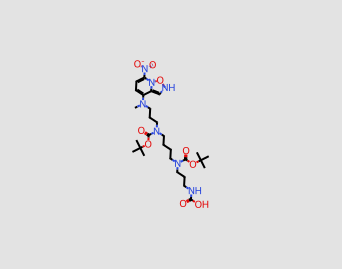 CN(CCCN(CCCCN(CCCNC(=O)O)C(=O)OC(C)(C)C)C(=O)OC(C)(C)C)C1=CC=C([N+](=O)[O-])N2ONC=C12